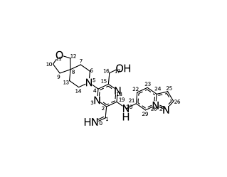 N=Cc1nc(N2CCC3(CCOC3)CC2)c(CO)nc1Nc1ccc2ccnn2c1